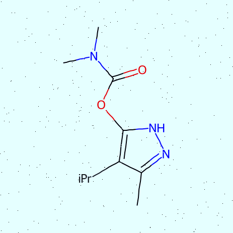 Cc1n[nH]c(OC(=O)N(C)C)c1C(C)C